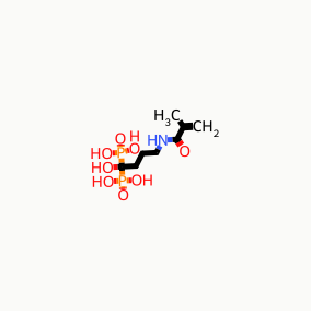 C=C(C)C(=O)NCCCC(O)(P(=O)(O)O)P(=O)(O)O